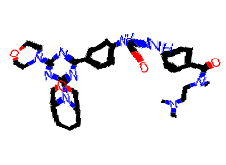 CN(C)CCN(C)C(=O)c1ccc(NC(=O)Nc2ccc(-c3nc(N4CCOCC4)nc(N4C5CCCC4COC5)n3)cc2)cc1